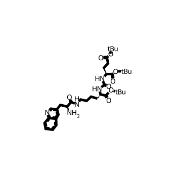 CC(C)(C)OC(=O)CC[C@H](NC(=O)N[C@@H](CCCCNC(=O)[C@@H](N)Cc1cnc2ccccc2c1)C(=O)OC(C)(C)C)C(=O)OC(C)(C)C